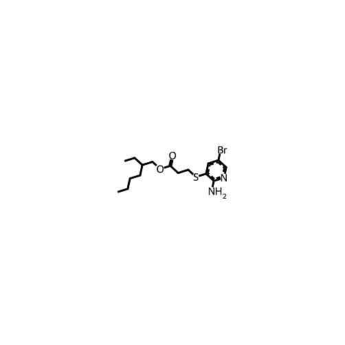 CCCCC(CC)COC(=O)CCSc1cc(Br)cnc1N